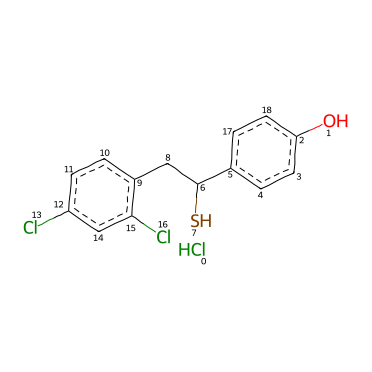 Cl.Oc1ccc(C(S)Cc2ccc(Cl)cc2Cl)cc1